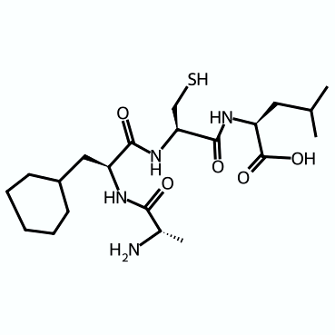 CC(C)C[C@H](NC(=O)[C@H](CS)NC(=O)[C@H](CC1CCCCC1)NC(=O)[C@H](C)N)C(=O)O